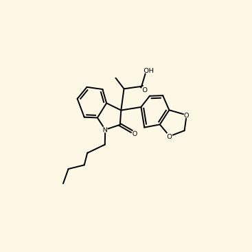 CCCCCN1C(=O)C(c2ccc3c(c2)OCO3)(C(C)C(=O)O)c2ccccc21